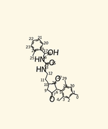 Cc1cc(C)c(C2C(=O)CC(CCNC(=O)NC(O)c3ccccc3C)C2=O)c(C)c1